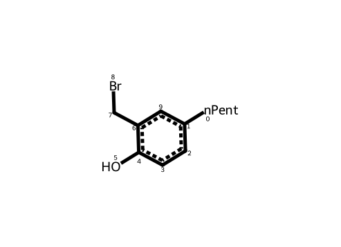 CCCCCc1ccc(O)c(CBr)c1